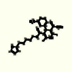 COC(=O)C1=C(C)NC(C)=C(C(=O)OCC=CC=Cc2ccco2)C1c1cccc([N+](=O)[O-])c1